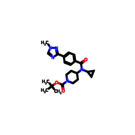 Cn1cnc(-c2ccc(C(=O)N(C3CC3)C3CCN(C(=O)OC(C)(C)C)CC3)cc2)n1